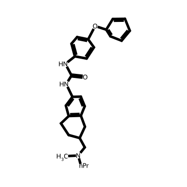 CCCN(C)CC1CCc2cc(NC(=O)Nc3ccc(Oc4ccccc4)cc3)ccc2C1